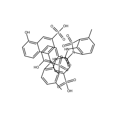 Cc1ccc2c(NC(=O)Nc3c4ccc(C)c3S(=O)(=O)N4c3cc(S(=O)(=O)O)cc4c(O)cccc34)c1S(=O)(=O)N2c1cc(S(=O)(=O)O)cc2c(O)cccc12